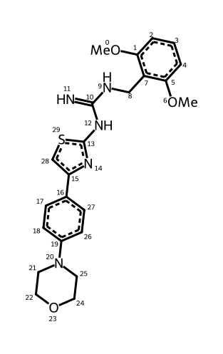 COc1cccc(OC)c1CNC(=N)Nc1nc(-c2ccc(N3CCOCC3)cc2)cs1